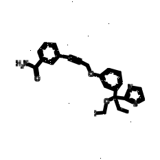 CCC(OCI)(c1cccc(OCC#Cc2cccc(C(N)=O)c2)c1)c1nccs1